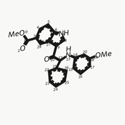 COC(=O)c1ccc2[nH]cc(C(=O)C(Nc3cccc(OC)c3)c3ccccc3)c2c1